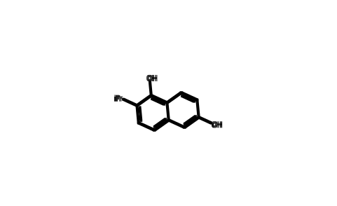 CC(C)c1ccc2cc(O)ccc2c1O